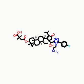 CC(C)C1=C2[C@H]3CC[C@@H]4[C@@]5(C)CC[C@H](OC(=O)CC(C)(C)C(=O)O)C(C)(C)[C@@H]5CC[C@@]4(C)[C@]3(C)CC[C@@]2([C@H](O)c2nnc(-c3ccc(F)cc3)n2CCN)CC1=O